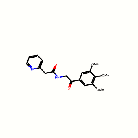 COc1cc(C(=O)CNC(=O)Cc2ccccn2)cc(OC)c1OC